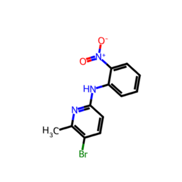 Cc1nc(Nc2ccccc2[N+](=O)[O-])ccc1Br